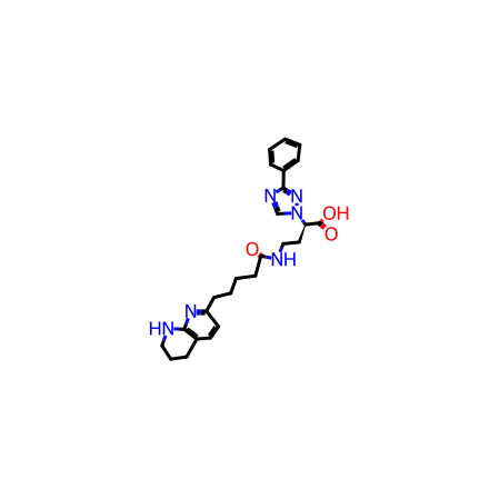 O=C(CCCCc1ccc2c(n1)NCCC2)NCC[C@H](C(=O)O)n1cnc(-c2ccccc2)n1